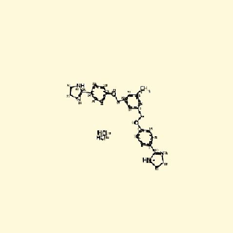 Cc1cc(COc2ccc(C3=NCCN3)cc2)cc(COc2ccc(C3=NCCN3)cc2)c1.Cl.Cl